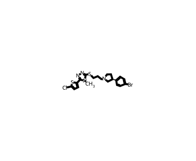 Cn1c(SCCCN2CC[C@@H](c3ccc(Br)cc3)C2)nnc1-c1ccc(Cl)s1